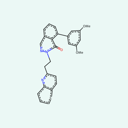 COc1cc(OC)cc(-c2cccc3cnn(CCc4ccc5ccccc5n4)c(=O)c23)c1